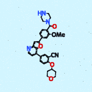 COc1cc(-c2cc3nccc(-c4ccc(OC5CCOCC5)c(C#N)c4)c3o2)ccc1C(=O)N1CCNCC1